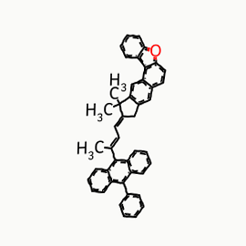 C/C(=C\C=C1/Cc2cc3ccc4oc5ccccc5c4c3cc2C1(C)C)c1c2ccccc2c(-c2ccccc2)c2ccccc12